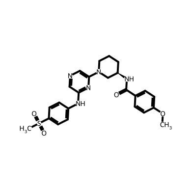 COc1ccc(C(=O)N[C@@H]2CCCN(c3cncc(Nc4ccc(S(C)(=O)=O)cc4)n3)C2)cc1